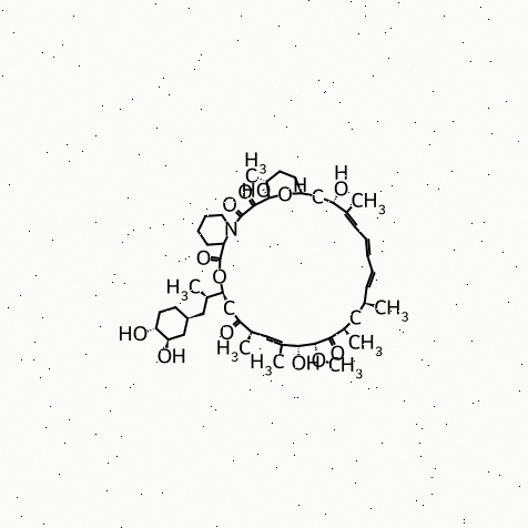 CO[C@H]1C(=O)[C@H](C)C[C@H](C)/C=C/C=C/C=C(\C)[C@@H](O)C[C@@H]2CC[C@@H](C)[C@@](O)(O2)C(=O)C(=O)N2CCCCC2C(=O)O[C@H]([C@H](C)C[C@@H]2CC[C@@H](O)[C@H](O)C2)CC(=O)[C@H](C)/C=C(\C)[C@H]1O